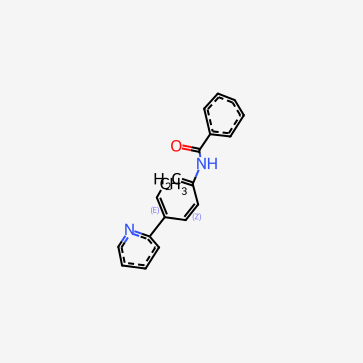 C=C(/C=C\C(=C/C)c1ccccn1)NC(=O)c1ccccc1